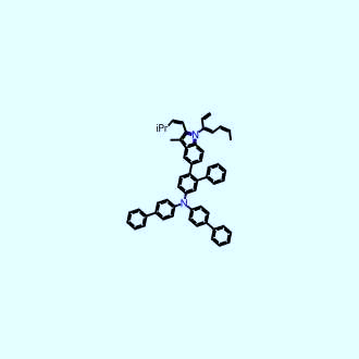 C=C/C(=C\C=C/C)n1c(/C=C\C(C)C)c(C)c2cc(-c3ccc(N(c4ccc(-c5ccccc5)cc4)c4ccc(-c5ccccc5)cc4)cc3-c3ccccc3)ccc21